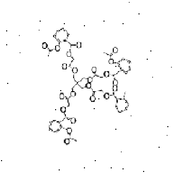 CC(=O)Oc1ccccc1C(=O)OCC(=O)OCC(COC(=O)COC(=O)c1ccccc1C)(COC(=O)COC(=O)c1ccccc1OC(C)=O)COC(=O)COC(=O)c1ccccc1OC(C)=O